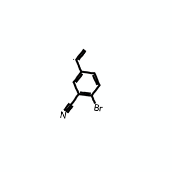 C=[C]c1ccc(Br)c(C#N)c1